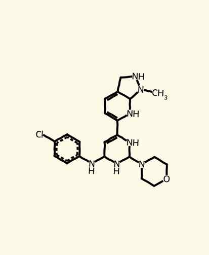 CN1NCC2=CC=C(C3=CC(Nc4ccc(Cl)cc4)NC(N4CCOCC4)N3)NC21